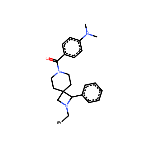 CC(C)CN1CC2(CCN(C(=O)c3ccc(N(C)C)cc3)CC2)C1c1ccccc1